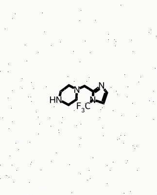 FC(F)(F)n1ccnc1CN1CCNCC1